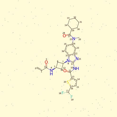 C=CC(=O)N[C@H]1C[C@@H](n2c(NC(=O)c3ccc(C(F)F)s3)nc3cc(N(C)C(=O)C4CCCCC4)ccc32)C1